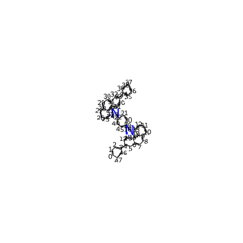 c1ccc(-c2cc3ccc4cccc5c4c3c(c2)n5-c2ccc(-n3c4cccc5ccc6cc(-c7ccccc7)cc3c6c54)cc2)cc1